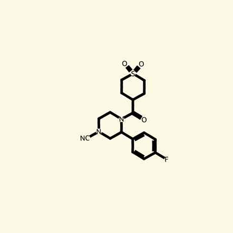 N#CN1CCN(C(=O)C2CCS(=O)(=O)CC2)C(c2ccc(F)cc2)C1